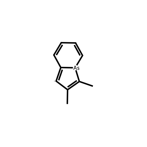 CC1=C(C)[As]2C=CC=CC2=[C]1